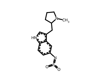 CN1CCCC1Cc1c[nH]c2ccc(N=S(=O)=O)cc12